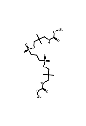 CC(C)(CNC(=O)OC(C)(C)C)COS(=O)(=O)CCCS(=O)(=O)OCC(C)(C)CNC(=O)OC(C)(C)C